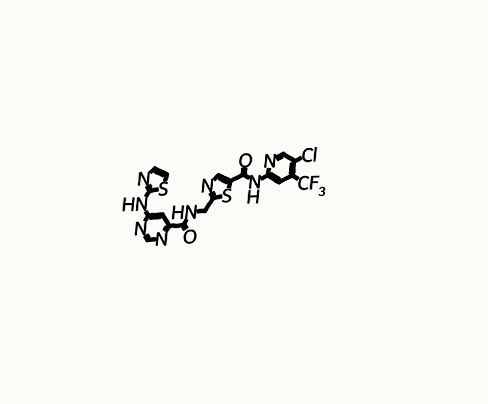 O=C(NCc1ncc(C(=O)Nc2cc(C(F)(F)F)c(Cl)cn2)s1)c1cc(Nc2nccs2)ncn1